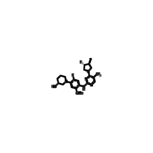 COc1cc(N2CCCC(O)C2)c(F)cc1Nc1ncc(C(F)(F)F)c(N2C[C@H](F)[C@@H](F)C2)n1